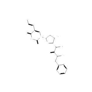 O=C(C(O)Cc1ccccc1)C(O)[C@H]1O[C@@H](n2cc(/C=C/Br)c(=O)[nH]c2=O)C[C@@H]1O